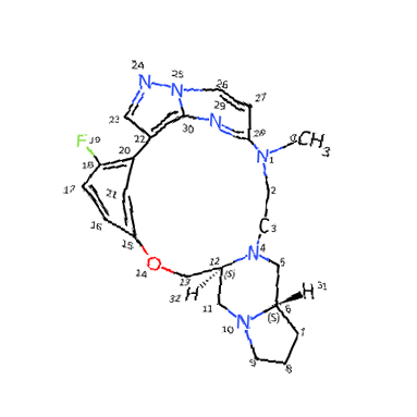 CN1CCN2C[C@@H]3CCCN3C[C@H]2COc2ccc(F)c(c2)-c2cnn3ccc1nc23